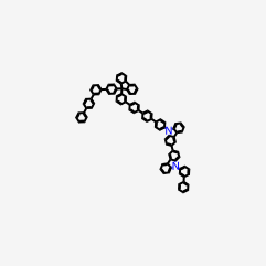 c1ccc(-c2ccc(-c3cccc(-c4ccc(C5(c6cccc(-c7ccc(-c8ccc(-c9ccc(-n%10c%11ccccc%11c%11cc(-c%12ccc%13c(c%12)c%12ccccc%12n%13-c%12cccc(-c%13ccccc%13)c%12)ccc%11%10)cc9)cc8)cc7)c6)c6ccccc6-c6ccccc65)cc4)c3)cc2)cc1